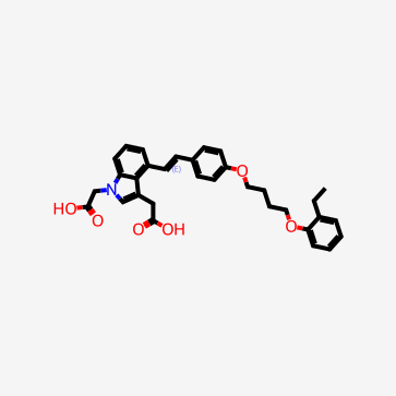 CCc1ccccc1OCCCCOc1ccc(/C=C/c2cccc3c2c(CC(=O)O)cn3CC(=O)O)cc1